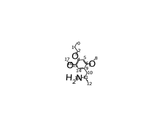 CCCOc1cc(OC)c(C[C@@H](C)N)cc1OC